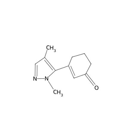 Cc1cnn(C)c1C1=CC(=O)CCC1